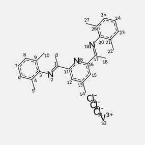 CC(=Nc1c(C)cccc1C)c1cc(C)cc(C(C)=Nc2c(C)cccc2C)n1.[Cl-].[Cl-].[Cl-].[V+3]